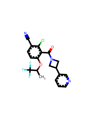 CC(Oc1ccc(C#N)c(Cl)c1C(=O)N1CC(c2cccnc2)C1)C(F)(F)F